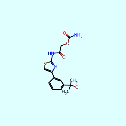 CC(C)(O)c1cccc(-c2csc(NC(=O)COC(N)=O)n2)c1